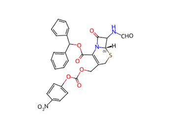 O=CNC1C(=O)N2C(C(=O)OC(c3ccccc3)c3ccccc3)=C(COC(=O)Oc3ccc([N+](=O)[O-])cc3)CS[C@@H]12